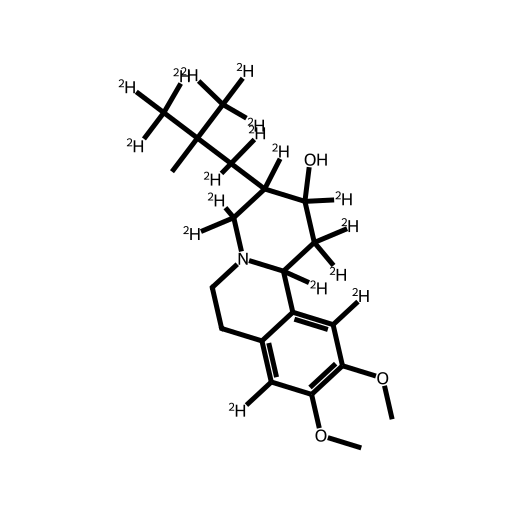 [2H]c1c2c(c([2H])c(OC)c1OC)C1([2H])N(CC2)C([2H])([2H])C([2H])(C([2H])([2H])C(C)(C([2H])([2H])[2H])C([2H])([2H])[2H])C([2H])(O)C1([2H])[2H]